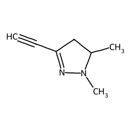 C#CC1=NN(C)C(C)C1